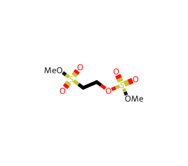 COS(=O)(=O)CCOS(=O)(=O)OC